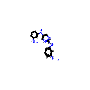 Nc1cccc(Nc2cnc(Nc3cccc(N)c3)nc2)c1